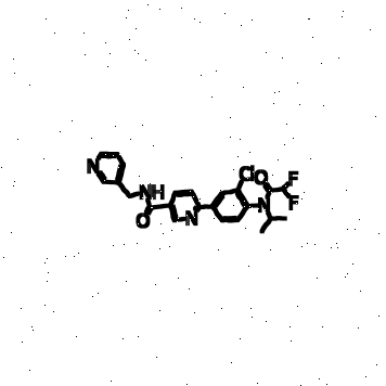 CC(C)N(C(=O)C(F)F)c1ccc(-c2ccc(C(=O)NCc3cccnc3)cn2)cc1Cl